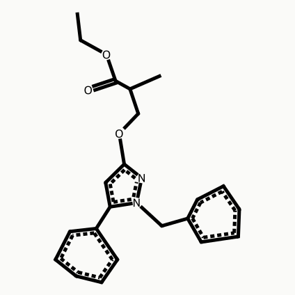 CCOC(=O)C(C)COc1cc(-c2ccccc2)n(Cc2ccccc2)n1